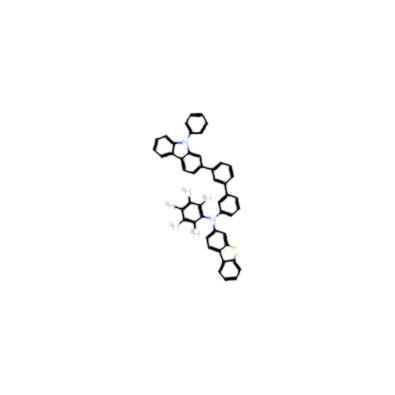 [2H]c1c([2H])c([2H])c(N(c2cccc(-c3cccc(-c4ccc5c6ccccc6n(-c6ccccc6)c5c4)c3)c2)c2ccc3c(c2)sc2ccccc23)c([2H])c1[2H]